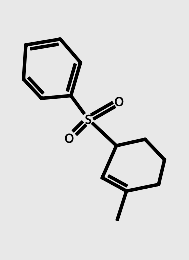 CC1=CC(S(=O)(=O)c2ccccc2)CCC1